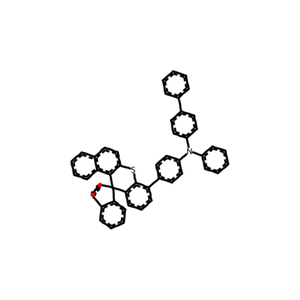 c1ccc(-c2ccc(N(c3ccccc3)c3ccc(-c4cccc5c4Sc4ccc6ccccc6c4C54c5ccccc5-c5ccccc54)cc3)cc2)cc1